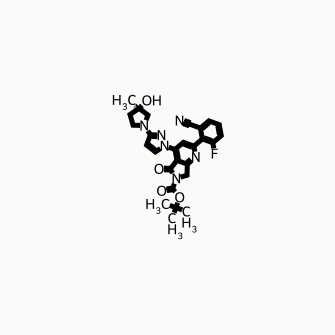 CC(C)(C)OC(=O)N1Cc2nc(-c3c(F)cccc3C#N)cc(-n3ccc(N4CC[C@@](C)(O)C4)n3)c2C1=O